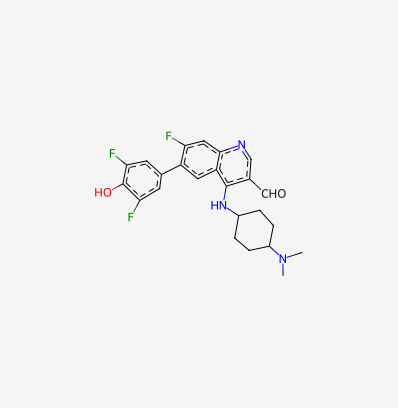 CN(C)C1CCC(Nc2c(C=O)cnc3cc(F)c(-c4cc(F)c(O)c(F)c4)cc23)CC1